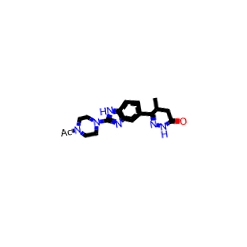 CC(=O)N1CCN(c2nc3cc(C4=NNC(=O)CC4C)ccc3[nH]2)CC1